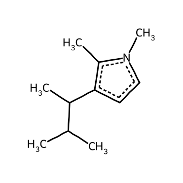 Cc1c(C(C)C(C)C)ccn1C